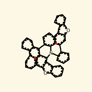 c1ccc(N(c2ccccc2-c2cc3ccccc3c3ccccc23)c2cccc3oc4ccccc4c23)c(-c2ccc3c(c2)oc2ccccc23)c1